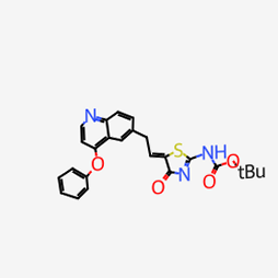 CC(C)(C)OC(=O)NC1=NC(=O)/C(=C/Cc2ccc3nccc(Oc4ccccc4)c3c2)S1